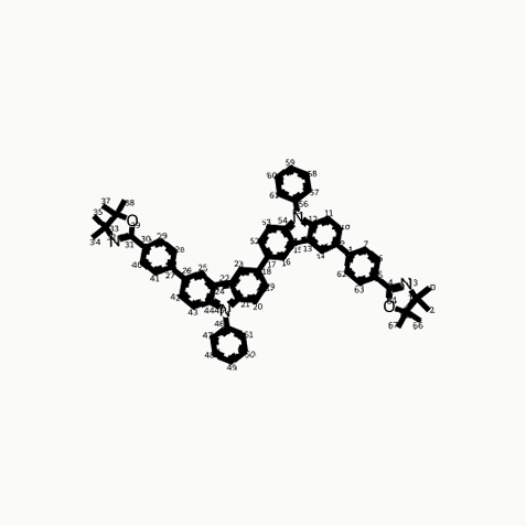 CC1(C)N=C(c2ccc(-c3ccc4c(c3)c3cc(-c5ccc6c(c5)c5cc(-c7ccc(C8=NC(C)(C)C(C)(C)O8)cc7)ccc5n6-c5ccccc5)ccc3n4-c3ccccc3)cc2)OC1(C)C